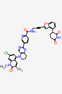 Cc1cc2c(N3CCCc4nc(-c5ccc(C(=O)NCC#Cc6cc7c(C8CCC(=O)NC8=O)cccc7o6)nc5)ncc43)cc(Cl)cc2n(C)c1=O